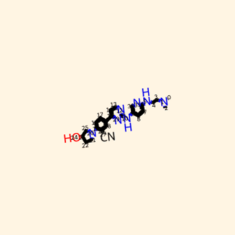 CN(C)CCNc1ccc(Nc2nccc(-c3ccc(N4CCC(O)C4)c(C#N)c3)n2)cn1